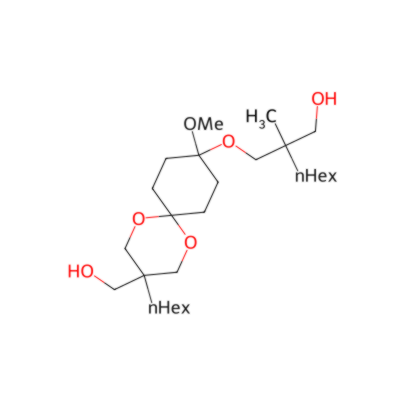 CCCCCCC(C)(CO)COC1(OC)CCC2(CC1)OCC(CO)(CCCCCC)CO2